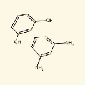 Nc1cccc(N)c1.Oc1cccc(O)c1